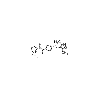 Cc1cccc(NC(=O)c2ccc(OCc3c(C)noc3C)cc2)n1